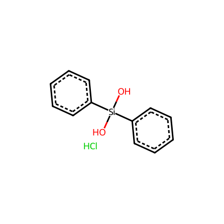 Cl.O[Si](O)(c1ccccc1)c1ccccc1